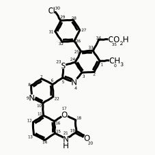 Cc1cc2nc(-c3ccnc(-c4cccc5c4OCC(=O)N5)c3)sc2c(-c2ccc(Cl)cc2)c1CC(=O)O